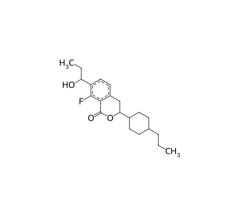 CCCC1CCC(C2Cc3ccc(C(O)CC)c(F)c3C(=O)O2)CC1